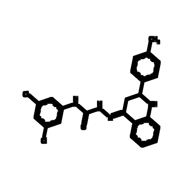 Cc1ccc(C2CC(=NNC(=O)Nc3cc(Cl)cc(Cl)c3)c3ccccc3N2)cc1